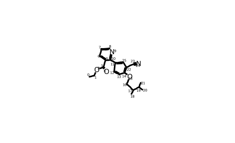 CCOC(=O)c1cccnc1-c1ccc(OCC(C)C(C)C)c(C#N)c1